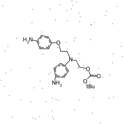 CC(C)(C)OC(=O)OCCN(CCOc1ccc(N)cc1)c1ccc(N)cc1